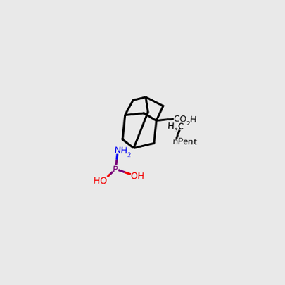 CCCCCC.NP(O)O.O=C(O)C12CC3CC(CC(C3)C1)C2